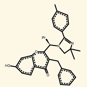 Cc1ccc(C2=NC(C)(C)CN2[C@@H](c2oc3cc(O)ccc3c(=O)c2Cc2ccccc2)C(C)C)cc1